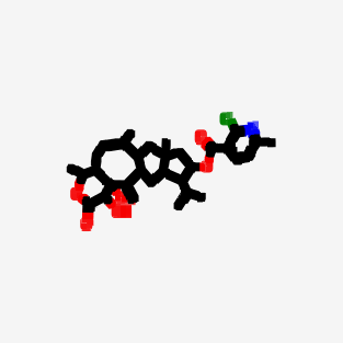 C=C1C2CC3C(C(C)C)C(OC(=O)c4ccc(C)nc4Cl)CC3(C)CC2/C(C)=C\CC2C(C)OC(=O)C(O)C12O